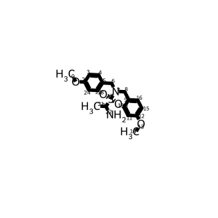 COc1ccc(CN(Cc2ccc(OC)cc2)S(=O)(=O)C(C)N)cc1